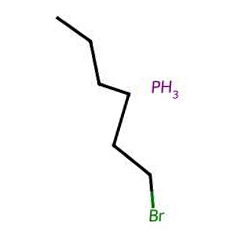 CCCCCCBr.P